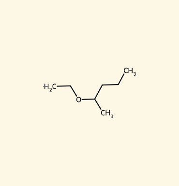 [CH2]COC(C)CCC